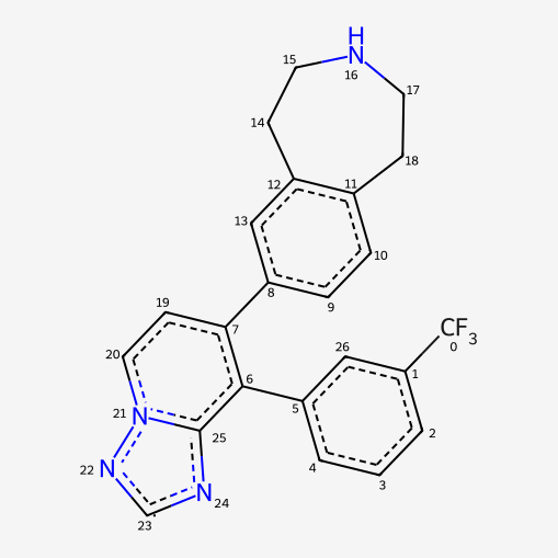 FC(F)(F)c1cccc(-c2c(-c3ccc4c(c3)CCNCC4)ccn3n[c]nc23)c1